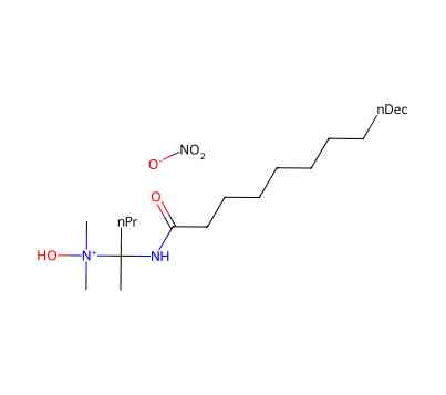 CCCCCCCCCCCCCCCCCC(=O)NC(C)(CCC)[N+](C)(C)O.O=[N+]([O-])[O-]